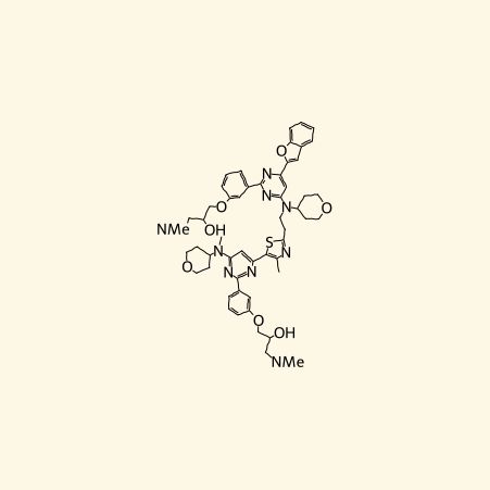 CNCC(O)COc1cccc(-c2nc(-c3sc(CCN(c4cc(-c5cc6ccccc6o5)nc(-c5cccc(OCC(O)CNC)c5)n4)C4CCOCC4)nc3C)cc(N(C)C3CCOCC3)n2)c1